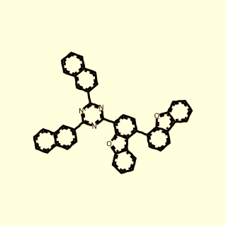 c1ccc2cc(-c3nc(-c4ccc5ccccc5c4)nc(-c4ccc(-c5cccc6c5oc5ccccc56)c5c4oc4ccccc45)n3)ccc2c1